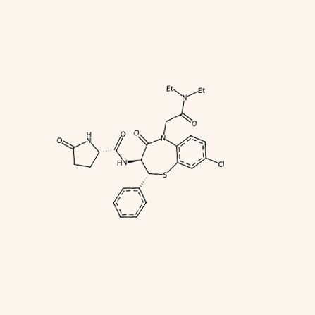 CCN(CC)C(=O)CN1C(=O)[C@H](NC(=O)[C@@H]2CCC(=O)N2)[C@@H](c2ccccc2)Sc2cc(Cl)ccc21